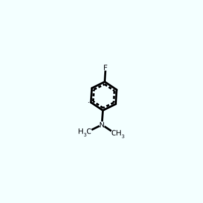 CN(C)c1[c]cc(F)cc1